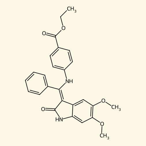 CCOC(=O)c1ccc(NC(=C2C(=O)Nc3cc(OC)c(OC)cc32)c2ccccc2)cc1